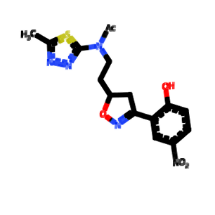 CC(=O)N(CCC1CC(c2cc([N+](=O)[O-])ccc2O)=NO1)c1nnc(C)s1